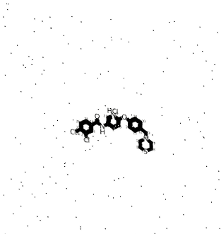 Cl.O=C(Nc1ccc(Oc2ccc(CN3CCSCC3)cc2)nc1)c1ccc(Cl)c(Cl)c1